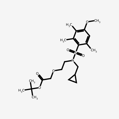 COc1cc(C)c(S(=O)(=O)N(CCOCC(=O)OC(C)(C)C)CC2CC2)c(C)c1C